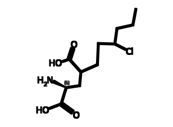 CCCC(Cl)CCC(C[C@H](N)C(=O)O)C(=O)O